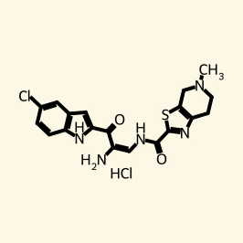 CN1CCc2nc(C(=O)N/C=C(/N)C(=O)c3cc4cc(Cl)ccc4[nH]3)sc2C1.Cl